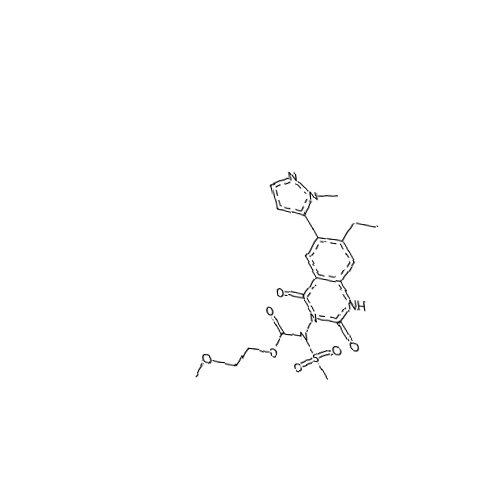 CCc1cc2[nH]c(=O)n(N(C(=O)OCCOC)S(C)(=O)=O)c(=O)c2cc1-c1ccnn1C